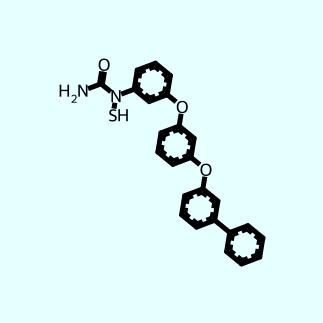 NC(=O)N(S)c1cccc(Oc2cccc(Oc3cccc(-c4ccccc4)c3)c2)c1